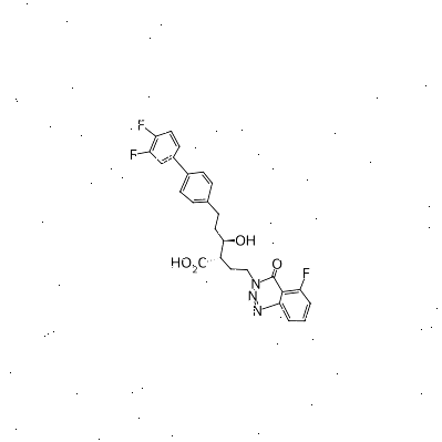 O=C(O)[C@@H](CCn1nnc2cccc(F)c2c1=O)[C@H](O)CCc1ccc(-c2ccc(F)c(F)c2)cc1